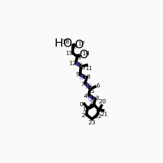 CC1=C(/C=C/C(C)=C/C=C/C(C)=C/C(=O)CC(=O)O)C(C)(C)CCC1